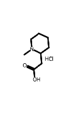 CN1CCCCC1CC(=O)O.Cl